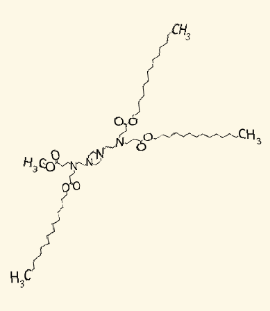 CCCCCCCCCCCCCCOC(=O)CCN(CCC(=O)OC)CCN1CCN(CCN(CCC(=O)OCCCCCCCCCCCCCC)CCC(=O)OCCCCCCCCCCCCCC)CC1